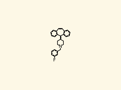 Fc1cccc(CN2CCC(=C3c4ccccc4C=Cc4ccccc43)CC2)c1